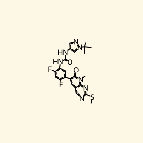 CSc1ncc2cc(-c3cc(NC(=O)Nc4cnn(C(C)(C)C)c4)c(F)cc3F)c(=O)n(C)c2n1